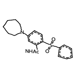 CC(=O)Nc1cc(N2CCCCCC2)ccc1S(=O)(=O)c1ccccc1